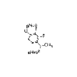 CCCC[CH]CCC(C)c1ccc(OCCCCCCCCC)c(F)c1F